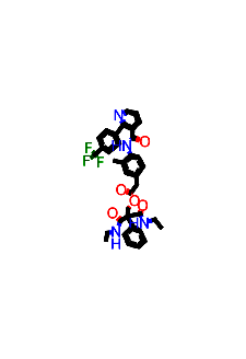 CCNC(=O)C(COC(=O)Cc1ccc(NC(=O)c2cccnc2-c2ccc(C(F)(F)F)cc2)c(C)c1)(C(=O)NCC)c1ccccc1